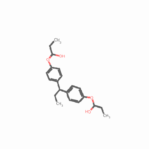 CCC(O)Oc1ccc(C(CC)c2ccc(OC(O)CC)cc2)cc1